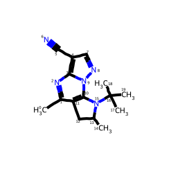 Cc1nc2c(C#N)cnn2c2c1CC(C)N2C(C)(C)C